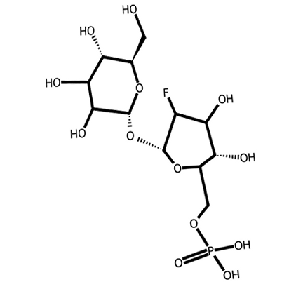 O=P(O)(O)OCC1O[C@H](O[C@H]2O[C@H](CO)[C@@H](O)C(O)C2O)C(F)C(O)[C@@H]1O